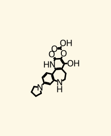 O=C(O)Oc1c(O)c2c([nH]c1=O)-c1ccc(N3CCCC3)cc1NCC2